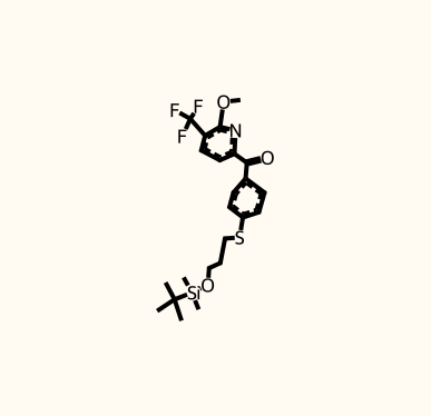 COc1nc(C(=O)c2ccc(SCCCO[Si](C)(C)C(C)(C)C)cc2)ccc1C(F)(F)F